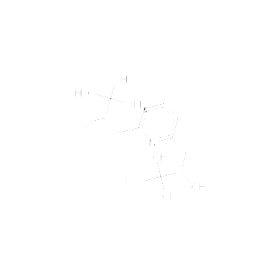 CP(Cc1cccc(CP(C)C(C)(C)C)n1)C(C)(C)C